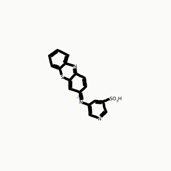 O=S(=O)(O)c1cncc(/N=c2\ccc3nc4ccccc4sc-3c2)c1